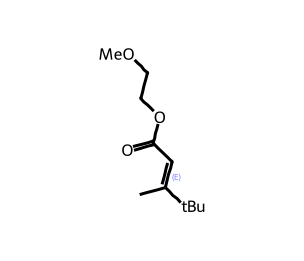 COCCOC(=O)/C=C(\C)C(C)(C)C